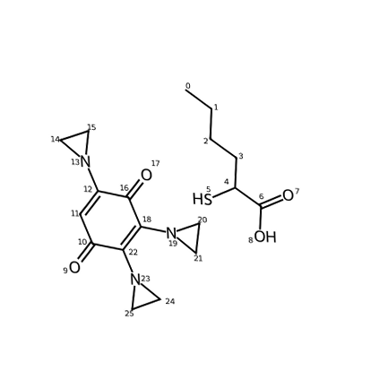 CCCCC(S)C(=O)O.O=C1C=C(N2CC2)C(=O)C(N2CC2)=C1N1CC1